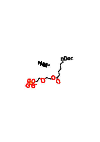 CCCCCCCCCCCCCCCC(=O)OCCOCCOP(=O)([O-])[O-].[Na+].[Na+]